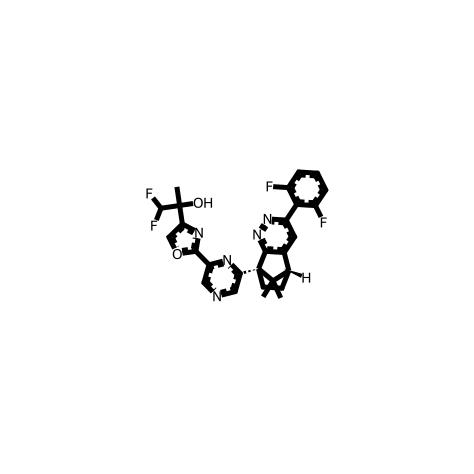 CC(O)(c1coc(-c2cncc([C@]34CC[C@@H](c5cc(-c6c(F)cccc6F)nnc53)C4(C)C)n2)n1)C(F)F